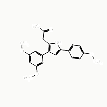 COc1ccc(-c2cc(-c3cc(OC)cc(OC)c3)c(CC(=O)O)[nH]2)cc1